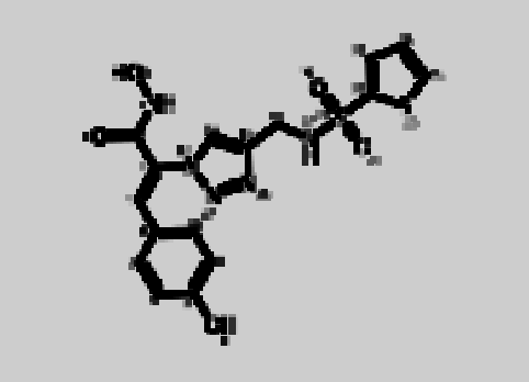 O=C(NO)C(=Cc1ccc(O)cc1)n1cc(CNS(=O)(=O)c2cccs2)nn1